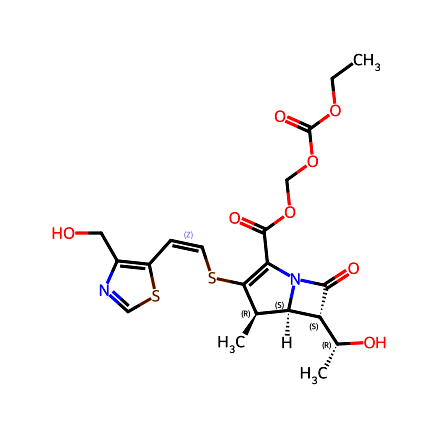 CCOC(=O)OCOC(=O)C1=C(S/C=C\c2scnc2CO)[C@H](C)[C@@H]2[C@@H]([C@@H](C)O)C(=O)N12